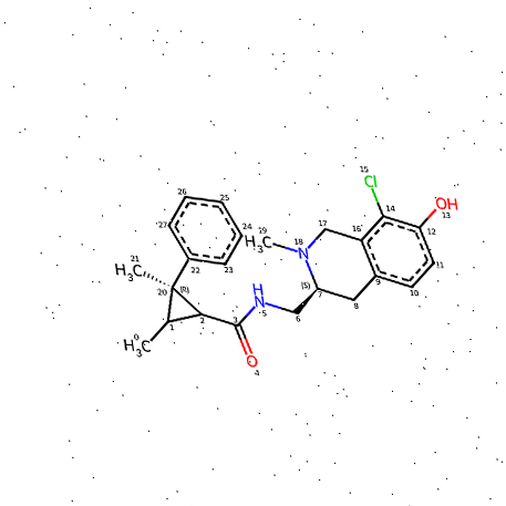 CC1C(C(=O)NC[C@@H]2Cc3ccc(O)c(Cl)c3CN2C)[C@]1(C)c1ccccc1